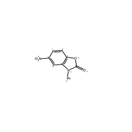 CC(C)n1c(=O)oc2ccc([N+](=O)[O-])cc21